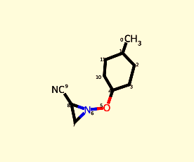 CC1CCC(ON2CC2C#N)CC1